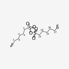 O=S(=O)(CCCCCF)OS(=O)(=O)CCCCCF